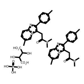 Cc1ccc(-c2nc3ccc(C)cn3c2CC(=O)N(C)C)cc1.Cc1ccc(-c2nc3ccc(C)cn3c2CC(=O)N(C)C)cc1.O=C(O)C(O)C(O)C(=O)O.O=P(O)(O)O